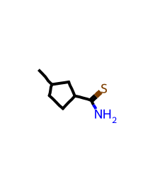 CC1CCC(C(N)=S)C1